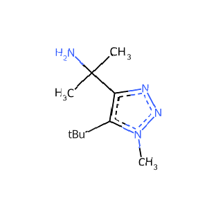 Cn1nnc(C(C)(C)N)c1C(C)(C)C